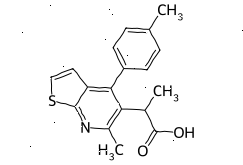 Cc1ccc(-c2c(C(C)C(=O)O)c(C)nc3sccc23)cc1